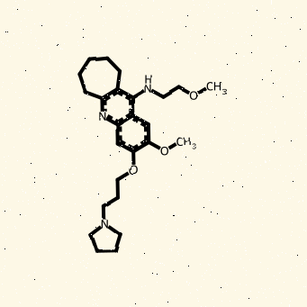 COCCNc1c2c(nc3cc(OCCCN4CCCC4)c(OC)cc13)CCCCC2